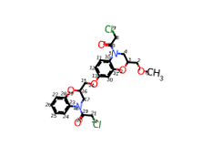 COCC1CN(C(=O)CCl)c2ccc(OCC3CN(C(=O)CCl)c4ccccc4O3)cc2O1